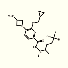 [2H]C([2H])(F)OCC(C)[C@H](C)NC(=O)c1ccc(N2CC(OC)C2)c(OCC2CC2)n1